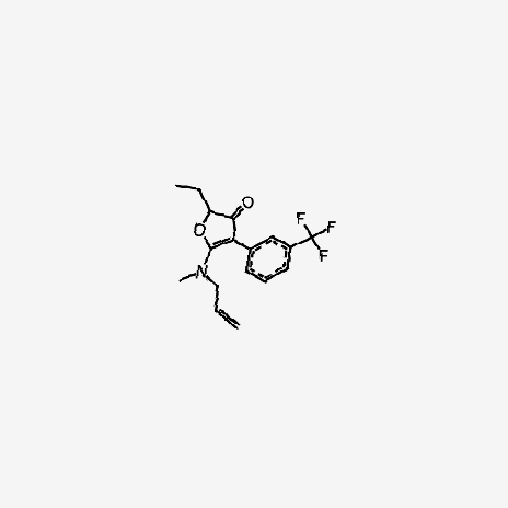 C=CCN(C)C1=C(c2cccc(C(F)(F)F)c2)C(=O)C(CC)O1